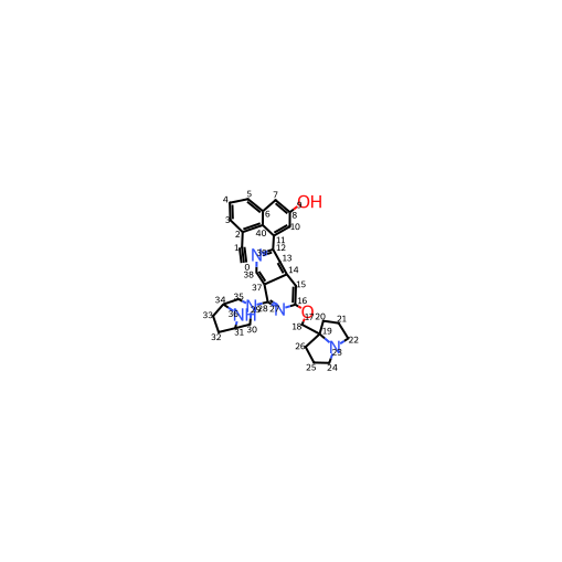 C#Cc1cccc2cc(O)cc(-c3cc4cc(OCC56CCCN5CCC6)nc(N5CC6CCC(C5)N6)c4cn3)c12